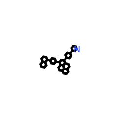 c1cncc(-c2ccc(-c3cc(-c4ccc(-c5cccc6ccccc56)cc4)c4ccc5cccc6ccc3c4c65)cc2)c1